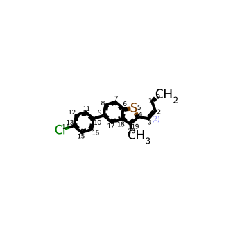 C=C/C=C\c1sc2ccc(-c3ccc(Cl)cc3)cc2c1C